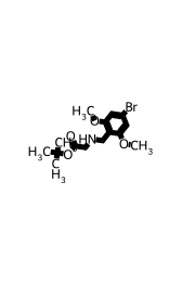 COc1cc(Br)cc(OC)c1CNCC(=O)OC(C)(C)C